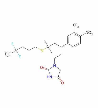 CC(C)(CC(CCN1CC(=O)NC1=O)c1ccc([N+](=O)[O-])c(C(F)(F)F)c1)SCCCC(F)(F)C(F)(F)F